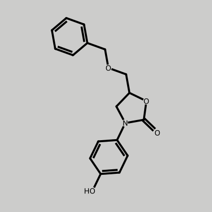 O=C1OC(COCc2ccccc2)CN1c1ccc(O)cc1